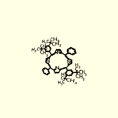 CC(C)(C)c1cc(C2=C3C=CC(=N3)C(c3ccccc3)=C3C=CC(=N3)C(c3cc(C(C)(C)C)cc(C(C)(C)C)c3)=C3C=CC(=N3)C(c3ccccc3)=C3C=CC2=N3)cc(C(C)(C)C)c1